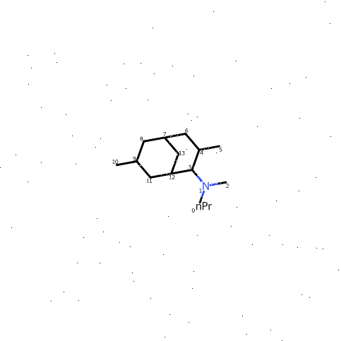 CCCN(C)C1C(C)CC2CC(C)CC1C2